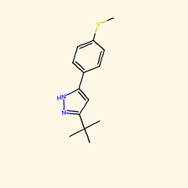 CSc1ccc(-c2cc(C(C)(C)C)n[nH]2)cc1